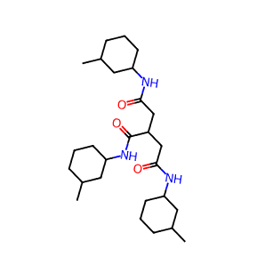 CC1CCCC(NC(=O)CC(CC(=O)NC2CCCC(C)C2)C(=O)NC2CCCC(C)C2)C1